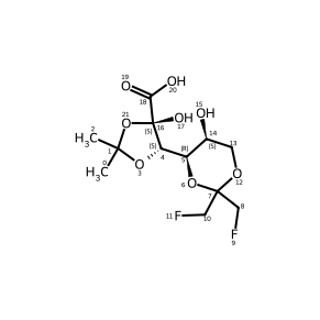 CC1(C)O[C@@H]([C@@H]2OC(CF)(CF)OC[C@@H]2O)[C@@](O)(C(=O)O)O1